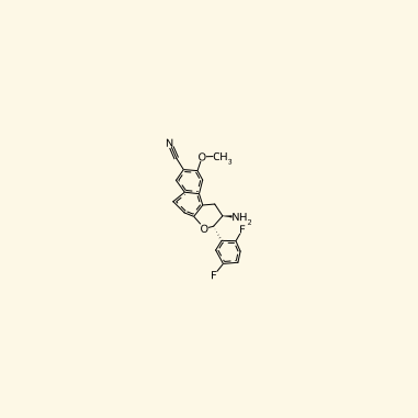 COc1cc2c3c(ccc2cc1C#N)O[C@@H](c1cc(F)ccc1F)[C@H](N)C3